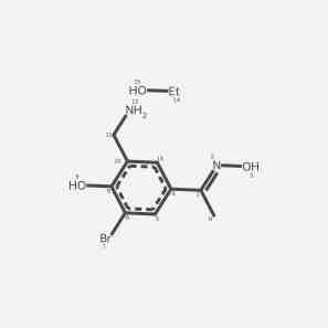 CC(=NO)c1cc(Br)c(O)c(CN)c1.CCO